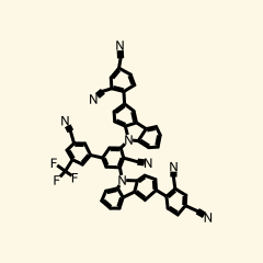 N#Cc1cc(-c2cc(-n3c4ccccc4c4cc(-c5ccc(C#N)cc5C#N)ccc43)c(C#N)c(-n3c4ccccc4c4cc(-c5ccc(C#N)cc5C#N)ccc43)c2)cc(C(F)(F)F)c1